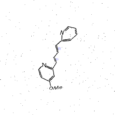 COc1ccnc(/C=C/C=C/c2ccccn2)c1